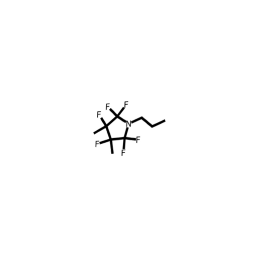 CCCN1C(F)(F)C(C)(F)C(C)(F)C1(F)F